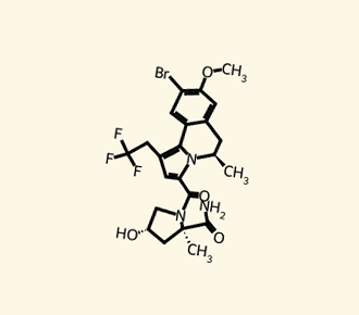 COc1cc2c(cc1Br)-c1c(CC(F)(F)F)cc(C(=O)N3C[C@@H](O)C[C@]3(C)C(N)=O)n1[C@H](C)C2